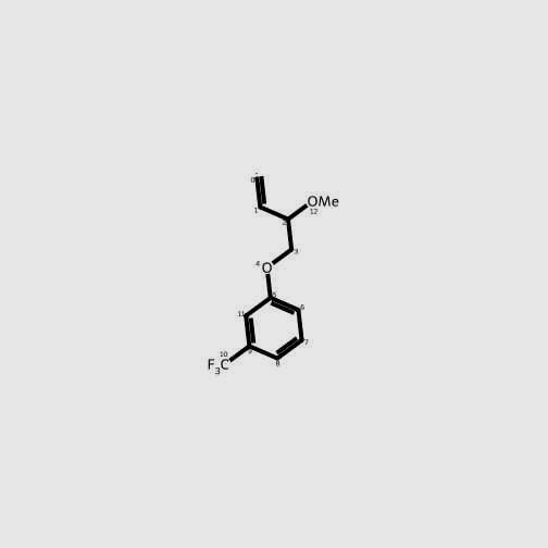 [CH]=CC(COc1cccc(C(F)(F)F)c1)OC